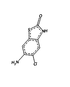 Nc1cc2sc(=O)[nH]c2cc1Cl